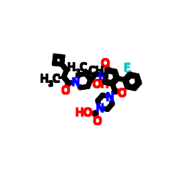 C[C@H](CC1CCC1)C(=O)N1CC[C@@](O)(Cn2cc(C(=O)N3CCN(C(=O)O)CC3)c(-c3ccccc3F)cc2=O)C(C)(C)C1